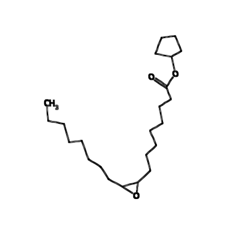 CCCCCCCCC1OC1CCCCCCCC(=O)OC1CCCC1